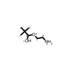 CC(C)(C)C(O)OCCN